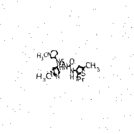 Cc1cc(NC(=O)NSN(c2cnn(C)c2)C2CCCN(C)C2)c(C(C)C)s1